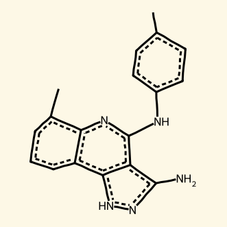 Cc1ccc(Nc2nc3c(C)cccc3c3[nH]nc(N)c23)cc1